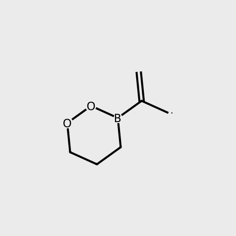 [CH2]C(=C)B1CCCOO1